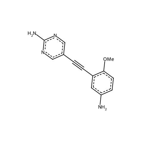 COc1ccc(N)cc1C#Cc1cnc(N)nc1